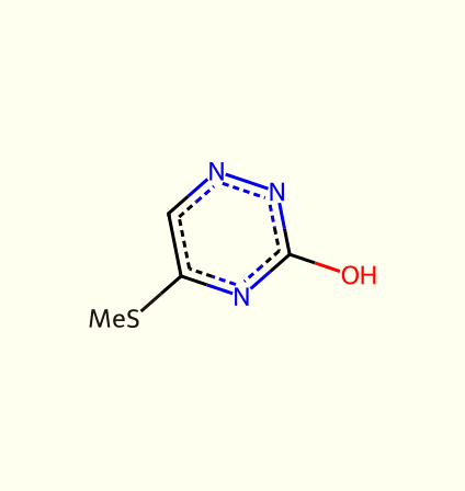 [CH2]Sc1cnnc(O)n1